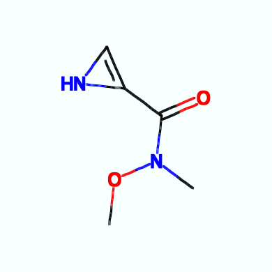 CON(C)C(=O)C1=CN1